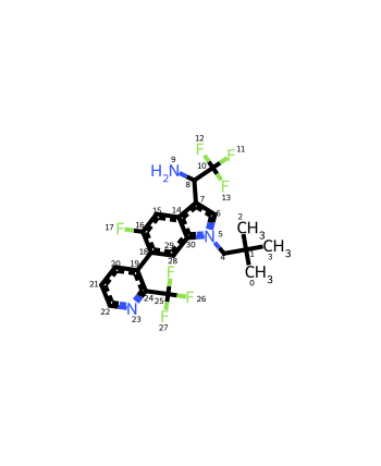 CC(C)(C)Cn1cc(C(N)C(F)(F)F)c2cc(F)c(-c3cccnc3C(F)(F)F)cc21